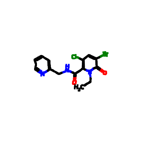 CCn1c(C(=O)NCc2ccccn2)c(Cl)cc(Br)c1=O